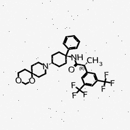 C[C@@H](C(=O)N[C@]1(c2ccccc2)CC[C@@H](N2CCC3(CCOCO3)CC2)CC1)c1cc(C(F)(F)F)cc(C(F)(F)F)c1